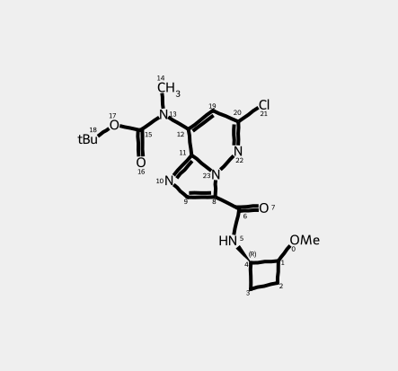 COC1CC[C@H]1NC(=O)c1cnc2c(N(C)C(=O)OC(C)(C)C)cc(Cl)nn12